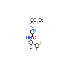 CCOC(=O)C1CCN(c2ccc(C(=O)Nc3ccc(C)c(-c4cccc(F)c4)c3)cn2)CC1